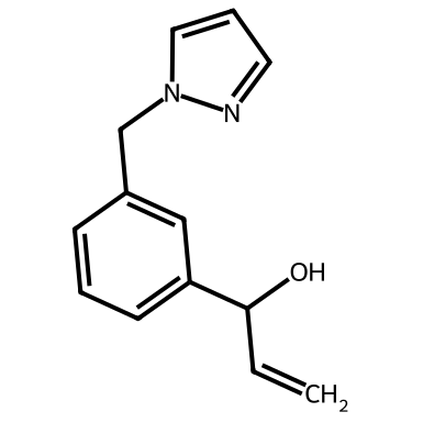 C=CC(O)c1cccc(Cn2cccn2)c1